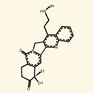 CC[C@@]1(O)C(=O)CCc2c1cc1n(c2=O)Cc2c-1nc1ccccc1c2CCNC(C)C